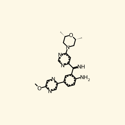 COc1cnc(-c2ccc(N)c(C(=N)c3cc(N4C[C@@H](C)O[C@@H](C)C4)ncn3)c2)cn1